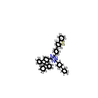 c1ccc(-c2ccc(-c3nc(-c4ccc(-c5ccc6c(c5)sc5ccccc56)cc4)nc(-c4ccc5c(c4)C(c4ccccc4)(c4ccccc4)c4ccccc4-5)n3)cc2)cc1